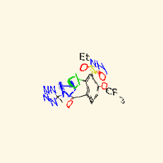 CCNS(=O)(=O)c1c(OC(F)(F)F)ccc(C(=O)NC2(C)N=NN=N2)c1Cl